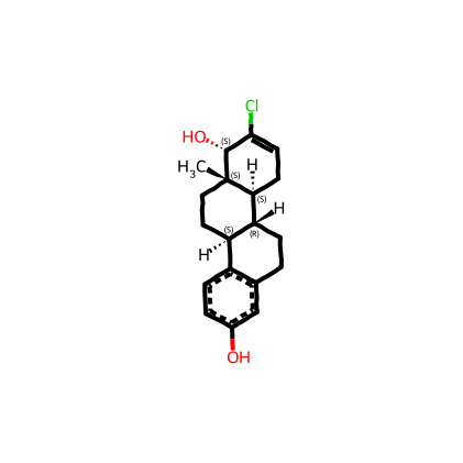 C[C@]12CC[C@@H]3c4ccc(O)cc4CC[C@H]3[C@@H]1CC=C(Cl)[C@H]2O